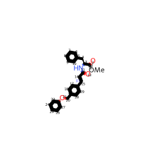 COC(=O)[C@H](Cc1ccccc1)NC(=O)/C=C/c1ccc(COc2ccccc2)cc1